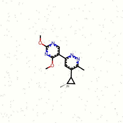 COc1ncc(-c2cc(C3C[C@@H]3C)c(C)nn2)c(OC)n1